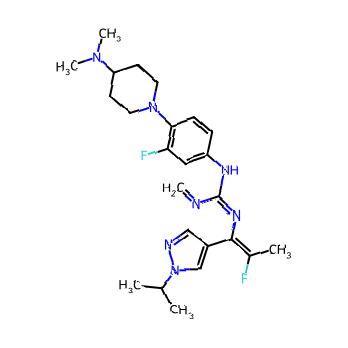 C=N/C(=N\C(=C(/C)F)c1cnn(C(C)C)c1)Nc1ccc(N2CCC(N(C)C)CC2)c(F)c1